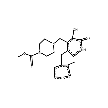 COC(=O)N1CCN(Cc2c(Cc3ccccc3C)c[nH]c(=O)c2O)CC1